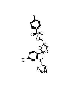 Cc1ccc(S(=O)(=O)OC[C@H]2CO[C@@](CCn3cncn3)(c3ccc(Cl)cc3)O2)cc1